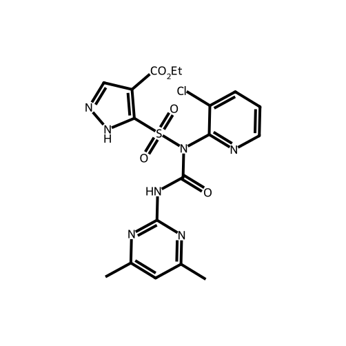 CCOC(=O)c1cn[nH]c1S(=O)(=O)N(C(=O)Nc1nc(C)cc(C)n1)c1ncccc1Cl